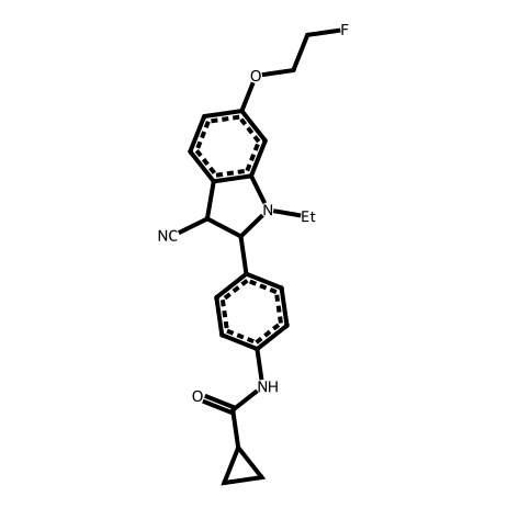 CCN1c2cc(OCCF)ccc2C(C#N)C1c1ccc(NC(=O)C2CC2)cc1